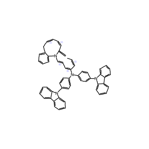 C=C1/C=C\C=C/Cc2ccccc2N1/C=C/C=C(\C=C/C)N(c1ccc(-n2c3ccccc3c3ccccc32)cc1)c1ccc(-n2c3ccccc3c3ccccc32)cc1